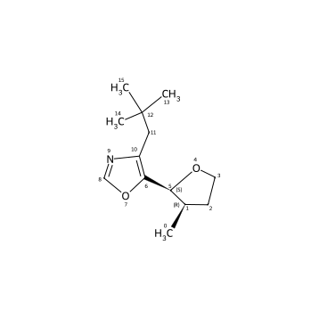 C[C@@H]1CCO[C@@H]1c1ocnc1CC(C)(C)C